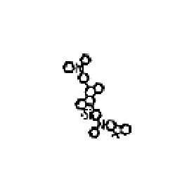 CC1(C)c2ccccc2-c2ccc(N(c3ccccc3)c3ccc4c(c3)[Si](C)(C)c3cccc5c3c-4cc3c4ccccc4c(-c4ccc(N(c6ccccc6)c6ccccc6)cc4)cc53)cc21